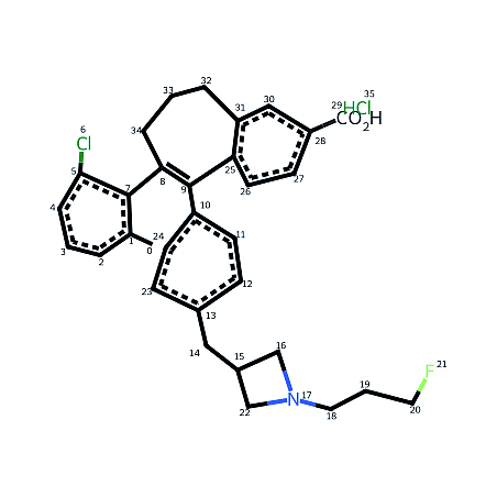 Cc1cccc(Cl)c1C1=C(c2ccc(CC3CN(CCCF)C3)cc2)c2ccc(C(=O)O)cc2CCC1.Cl